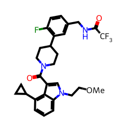 COCCn1cc(C(=O)N2CCC(c3cc(CNC(=O)C(F)(F)F)ccc3F)CC2)c2c(C3CC3)cccc21